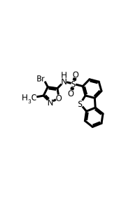 Cc1noc(NS(=O)(=O)c2cccc3c2sc2ccccc23)c1Br